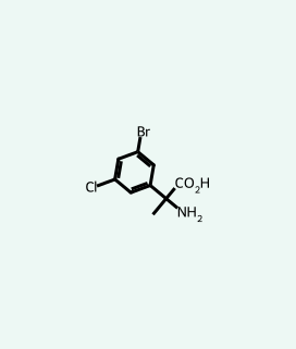 CC(N)(C(=O)O)c1cc(Cl)cc(Br)c1